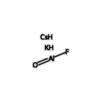 [CsH].[KH].[O]=[Al][F]